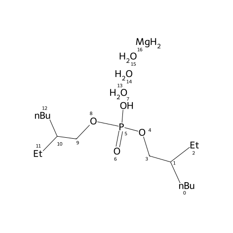 CCCCC(CC)COP(=O)(O)OCC(CC)CCCC.O.O.O.[MgH2]